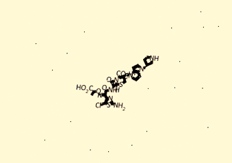 C[C@H](O/N=C(\C(=O)N[C@@H]1C(=O)N2C(C(=O)O)=C(C[n+]3cccc4c3ccn4C[C@H]3CCNC3)CS[C@H]12)c1nc(N)sc1Cl)C(=O)O